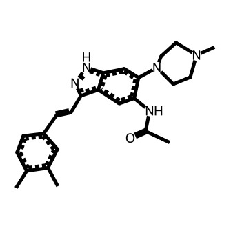 CC(=O)Nc1cc2c(/C=C/c3ccc(C)c(C)c3)n[nH]c2cc1N1CCN(C)CC1